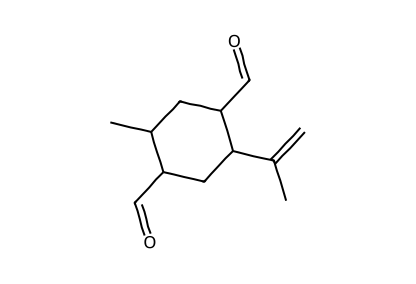 C=C(C)C1CC(C=O)C(C)CC1C=O